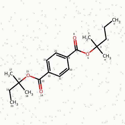 CCCC(C)(C)OC(=O)c1ccc(C(=O)OC(C)(C)CC)cc1